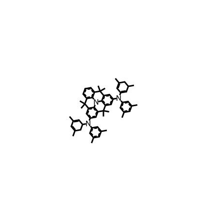 CC1=CC(N(c2cc(C)cc(C)c2)c2cc3c4c(c2)C(C)(C)c2cc(N(C5=CC(C)CC(C)=C5)c5cc(C)cc(C)c5)cc5c2N4c2c(cccc2C3(C)C)C5(C)C)CC(C)=C1